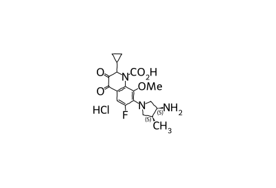 COc1c(N2C[C@@H](N)[C@@H](C)C2)c(F)cc2c1N(C(=O)O)C(C1CC1)C(=O)C2=O.Cl